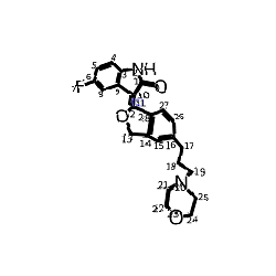 O=C1Nc2ccc(F)cc2/C1=C1\OCc2cc(CCCN3CCOCC3)ccc21